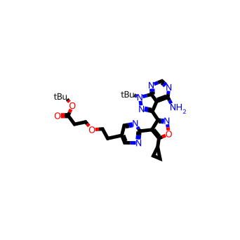 CC(C)(C)OC(=O)CCOCCc1cnc(-c2c(-c3nn(C(C)(C)C)c4ncnc(N)c34)noc2C2CC2)nc1